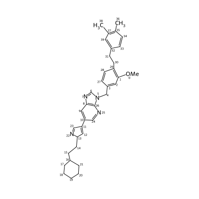 COc1cc(Cn2cnc3cc(C4=CC(CCC5CCCCC5)N=C4)cnc32)ccc1CCc1ccc(C)c(C)c1